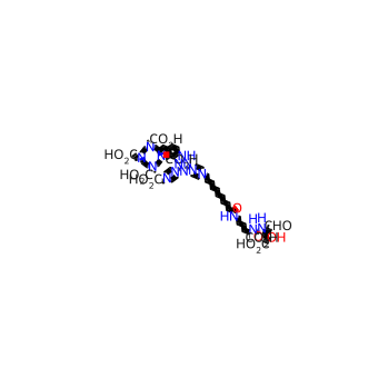 O=C[C@@](CO)(CCC(=O)O)NC(=O)N[C@@H](CCCCNC(=O)CCCCCCCCCCN1CCN(c2nc(Nc3ccc(CC4CN(CC(=O)O)CCN(CC(=O)O)CCN(CC(=O)O)CCN4CC(=O)O)cc3)nc(N3CCN(CC(=O)O)CC3)n2)CC1)C(=O)O